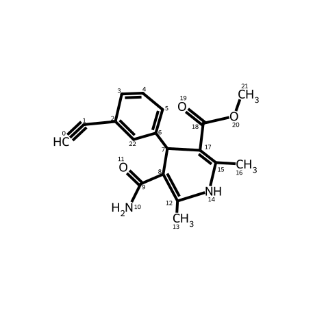 C#Cc1cccc(C2C(C(N)=O)=C(C)NC(C)=C2C(=O)OC)c1